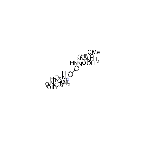 C=C(N/C(=C\N)c1ccc(-c2ccc3nc([C@@H]4CCCN4C(=O)[C@@H](NC(=O)OC)[C@H](C)O)[nH]c3c2)cc1)[C@@H]1CCCN1C(=O)[C@@H](NC1OCO1)C(C)C